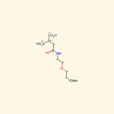 COCCOCCNC(=O)CC(C(=O)O)S(=O)(=O)O